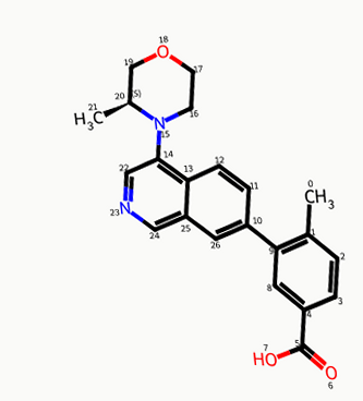 Cc1ccc(C(=O)O)cc1-c1ccc2c(N3CCOC[C@@H]3C)cncc2c1